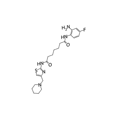 Nc1cc(F)ccc1NC(=O)CCCCCC(=O)Nc1nc(CN2CCCCC2)cs1